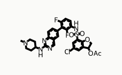 CC(=O)OC1COc2c1cc(Cl)cc2S(=O)(=O)Nc1ccc(F)c(-c2ccc3nc(NC4CCN(C)CC4)ncc3c2)c1F